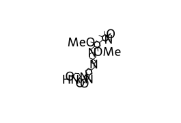 COc1cc(-c2cn(C)c(=O)c(C)c2C)cc(OC)c1CN1CCC2(CC1)CN(Cc1ccc3c(c1)n(C)c(=O)n3C1CCC(=O)NC1=O)C2